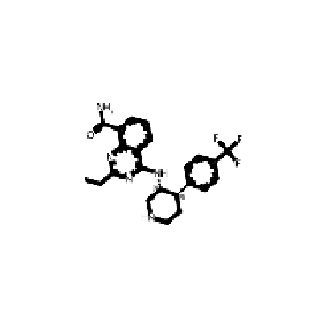 CCc1nc(N[C@H]2CNCC[C@@H]2c2ccc(C(F)(F)F)cc2)c2cccc(C(N)=O)c2n1